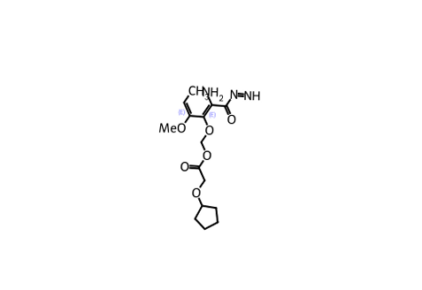 C/C=C(OC)\C(OCOC(=O)COC1CCCC1)=C(/N)C(=O)N=N